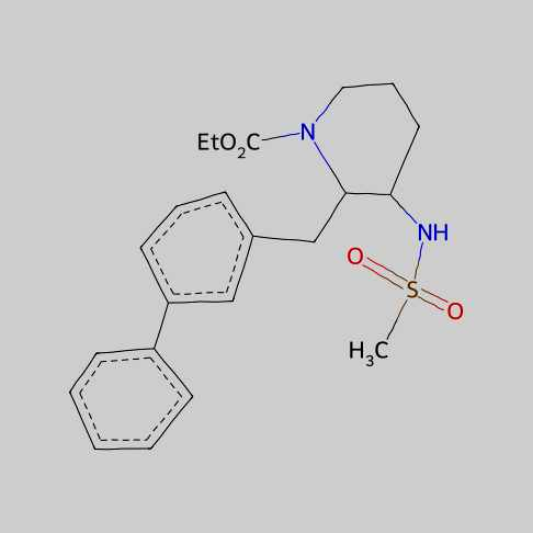 CCOC(=O)N1CCCC(NS(C)(=O)=O)C1Cc1cccc(-c2ccccc2)c1